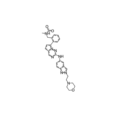 CN(Cc1ccccc1-c1ccc2cnc(Nc3ccc4nn(CCN5CCOCC5)cc4c3)nn12)[SH](=O)=O